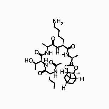 CCC[C@H](NC(C)=O)C(=O)N[C@H](C(=O)N[C@@H](C)C(=O)N[C@@H](CCCCN)C(=O)N[C@@H](C)B1O[C@@H]2C[C@@H]3C[C@@H](C3(C)C)[C@]2(C)O1)[C@@H](C)O